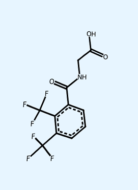 O=C(O)CNC(=O)c1cccc(C(F)(F)F)c1C(F)(F)F